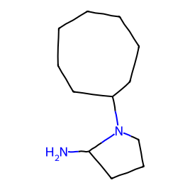 NC1CCCN1C1CCCCCCC1